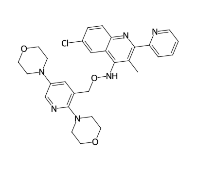 Cc1c(-c2ccccn2)nc2ccc(Cl)cc2c1NOCc1cc(N2CCOCC2)cnc1N1CCOCC1